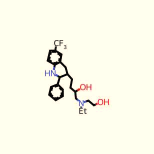 CCN(CCO)CC(O)CCC1Cc2cc(C(F)(F)F)ccc2NC1c1ccccc1